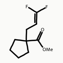 COC(=O)C1(CC=C(F)F)CCCC1